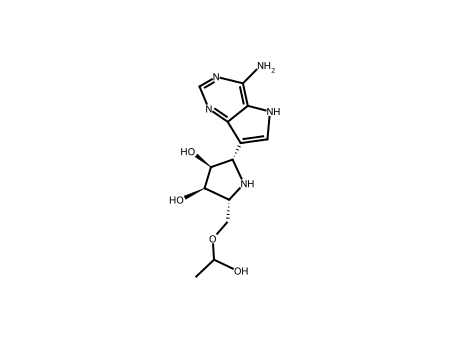 CC(O)OC[C@H]1N[C@@H](c2c[nH]c3c(N)ncnc23)[C@H](O)[C@@H]1O